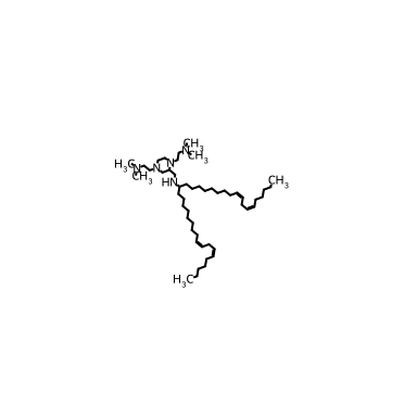 CCCCC/C=C\C/C=C\CCCCCCCCC(CCCCCCCC/C=C\C/C=C\CCCCC)NCC1CN(CCN(C)C)CCN1CCN(C)C